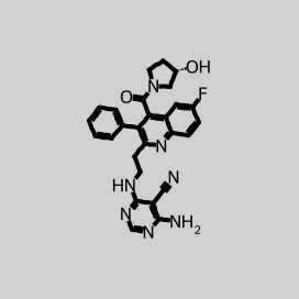 N#Cc1c(N)ncnc1NCCc1nc2ccc(F)cc2c(C(=O)N2CC[C@H](O)C2)c1-c1ccccc1